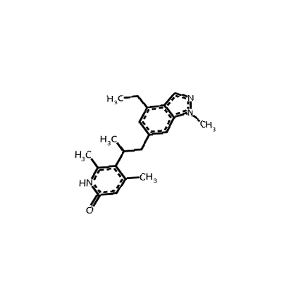 CCc1cc(CC(C)c2c(C)cc(=O)[nH]c2C)cc2c1cnn2C